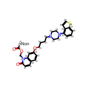 CCCCCCCCCC(=O)OCn1c(=O)ccc2ccc(OCCCCN3CCN(c4cccc5sccc45)CC3)cc21